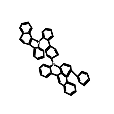 c1ccc(-c2ccc(N(c3ccc(-c4ccccc4-n4c5ccccc5c5ccc6ccccc6c54)cc3)c3ccccc3-c3ccc4ccccc4c3)cc2)cc1